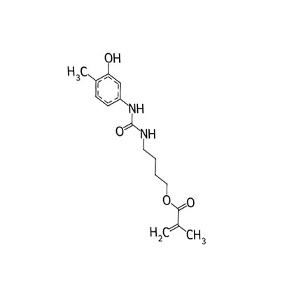 C=C(C)C(=O)OCCCCNC(=O)Nc1ccc(C)c(O)c1